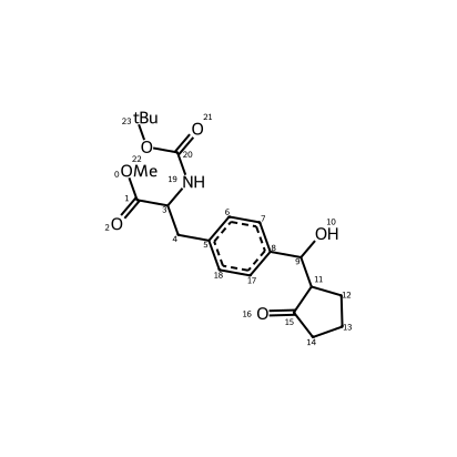 COC(=O)C(Cc1ccc(C(O)C2CCCC2=O)cc1)NC(=O)OC(C)(C)C